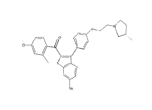 Cc1cc(Cl)ccc1C(=O)c1sc2cc(O)ccc2c1-c1ccc(OCCN2CC[C@H](C)C2)cc1